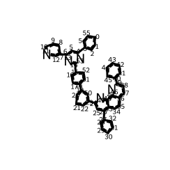 c1ccc(-c2cc(-c3cccnc3)nc(-c3ccc(-c4cccc(-c5cc(-c6ccccc6)c6ccc7ccc(-c8ccccc8)nc7c6n5)c4)cc3)n2)cc1